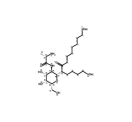 CCCCCCCCCCCCCCCCCC(=O)N(CCCCCCCCCCCCCC)[C@@H]1O[C@H](CO)[C@H](O)[C@H](O)[C@H]1NC(=O)[C@H](C)N